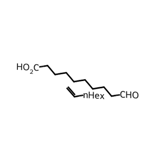 C=CCCCCCC.O=CCCCCCCCCC(=O)O